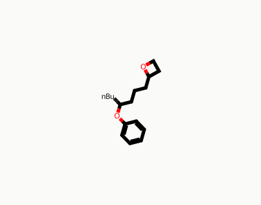 CCCCC(CCCC1CCO1)Oc1ccccc1